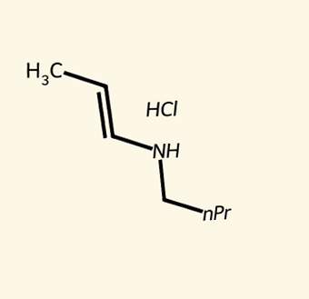 CC=CNCCCC.Cl